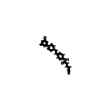 Cc1cc(Cl)cc(N2CCN(CCC3CCC(NC(=O)CCCC#N)CC3)CC2)c1